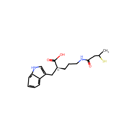 CC(S)CC(=O)NCCC[C@@H](Cc1c[nH]c2ccccc12)C(=O)O